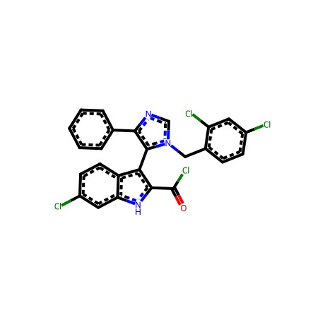 O=C(Cl)c1[nH]c2cc(Cl)ccc2c1-c1c(-c2ccccc2)ncn1Cc1ccc(Cl)cc1Cl